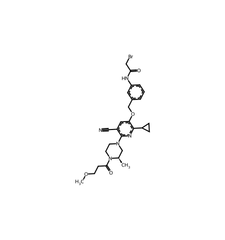 COCCC(=O)N1CCN(c2nc(C3CC3)c(OCc3cccc(NC(=O)CBr)c3)cc2C#N)C[C@H]1C